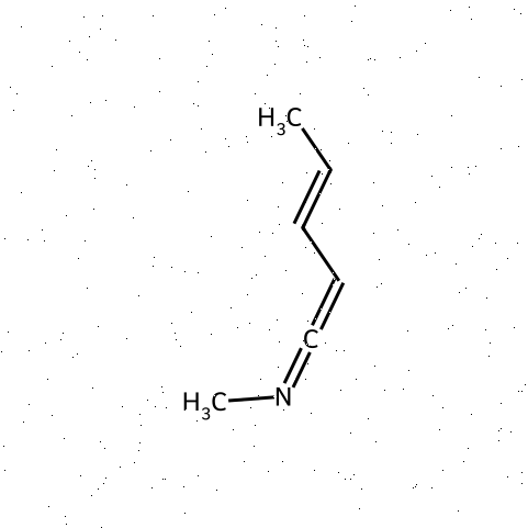 CC=CC=C=NC